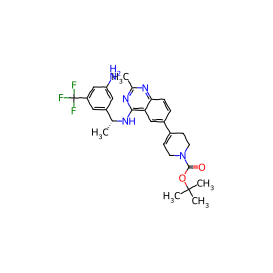 Cc1nc(N[C@H](C)c2cc(N)cc(C(F)(F)F)c2)c2cc(C3=CCN(C(=O)OC(C)(C)C)CC3)ccc2n1